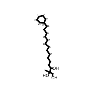 CC(O)(CO)C(O)CCCCCCCCCCCCC1CCCCC1